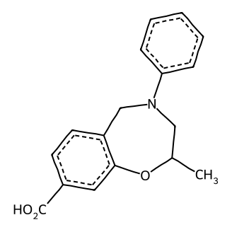 CC1CN(c2ccccc2)Cc2ccc(C(=O)O)cc2O1